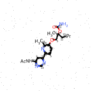 CC(=O)Nc1cc(-c2ccc(OC[C@](C)(CC(C)C)OC(N)=O)c(C)n2)ncn1